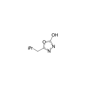 CC(C)Cc1nnc(O)o1